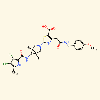 COc1ccc(CNC(=O)Cc2nc(N3C[C@@H]4C(NC(=O)c5[nH]c(C)c(Cl)c5Cl)[C@@H]4C3)sc2C(=O)O)cc1